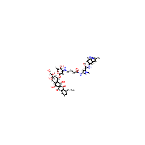 COc1cccc2c1C(=O)c1c(O)c3c(c(O)c1C2=O)C[C@@](O)(C(=O)CO)C[C@@H]3OC1C[C@H](NCCCC(=O)Nc2cc(C(=O)Nc3ccc4[nH]c(C)cc4c3)n(C)c2)[C@H](O)[C@H](C)O1